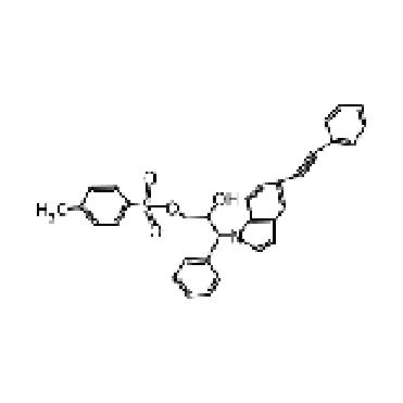 Cc1ccc(S(=O)(=O)OCC(O)C(c2ccccc2)n2ccc3cc(C#Cc4ccccc4)ccc32)cc1